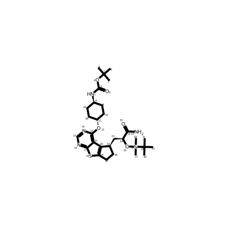 CC(C)(C)OC(=O)N[C@H]1CC[C@H](Oc2ncnc3sc4c(c23)[C@@H](C[C@H](O[Si](C)(C)C(C)(C)C)C(N)=O)CC4)CC1